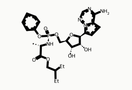 CCC(CC)COC(=O)[C@H](C)N[P@](=O)(OC[C@H]1O[C@@H](c2ccc3c(N)ncnn23)[C@H](O)[C@@H]1O)Oc1ccccc1